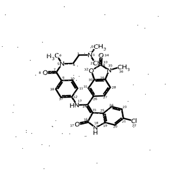 CN(C)CCN(C)C(=O)c1ccc(N/C(=C2\C(=O)Nc3cc(Cl)ccc32)c2ccc3c(c2)oc(=O)n3C)cc1